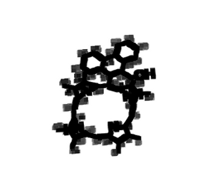 CC1=C(C)c2cc3[nH]c(c(C)c3C)c(-c3c(CO)c4ccccc4c4ccccc34)c3nc(cc4[nH]c(cc1n2)c(C)c4C)C(C)=C3C